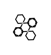 c1ccc2c(c1)[Si]1(CCCCC1)c1ccccc1[Si]21CCCCC1